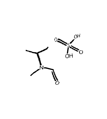 CC(C)N(C)C=O.O=S(=O)(O)O